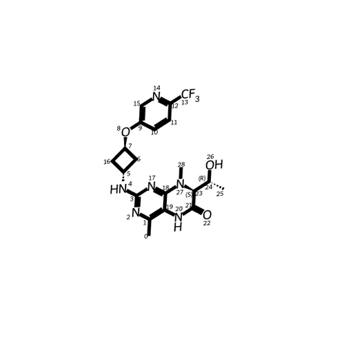 Cc1nc(N[C@H]2C[C@H](Oc3ccc(C(F)(F)F)nc3)C2)nc2c1NC(=O)[C@H]([C@@H](C)O)N2C